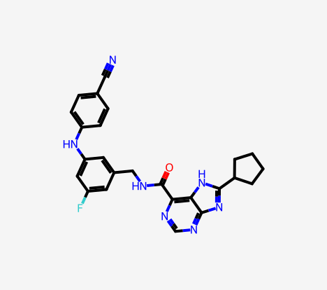 N#Cc1ccc(Nc2cc(F)cc(CNC(=O)c3ncnc4nc(C5CCCC5)[nH]c34)c2)cc1